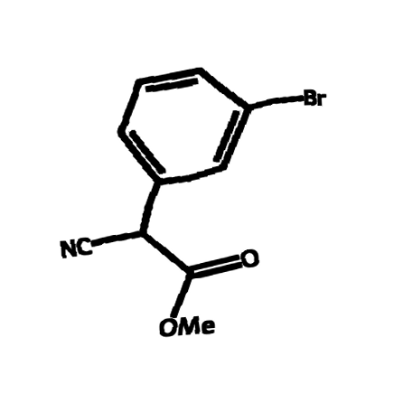 COC(=O)C(C#N)c1cccc(Br)c1